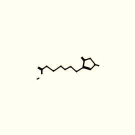 CCCCOC(=O)CCCCCCC1=CC(O)CC1=O